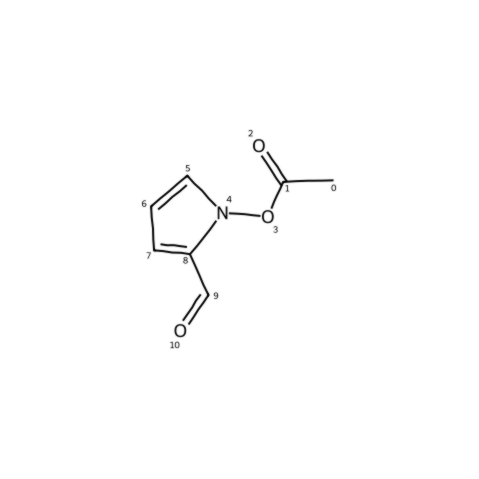 CC(=O)On1cccc1C=O